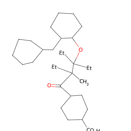 CCC(CC)(OC1CCCCC1CC1CCCCC1)C(C)(CC)C(=O)C1CCC(C(=O)O)CC1